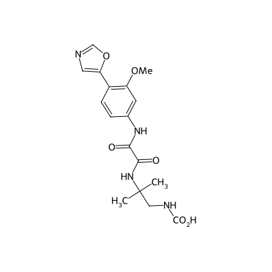 COc1cc(NC(=O)C(=O)NC(C)(C)CNC(=O)O)ccc1-c1cnco1